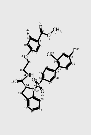 COC(=O)c1ccc(OCCNC(=O)[C@@H]2Cc3ccccc3N2S(=O)(=O)c2ccc(-c3ccc(F)cc3Cl)cc2)cc1F